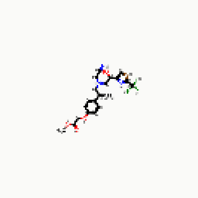 COC(=O)COc1ccc(C(C)CN(CC#N)CC(O)c2csc(C(F)(F)F)n2)cc1